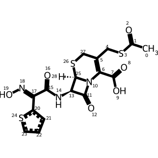 CC(=O)SCC1=C(C(=O)O)N2C(=O)[C@@H](NC(=O)/C(=N/O)c3cccs3)[C@H]2SC1